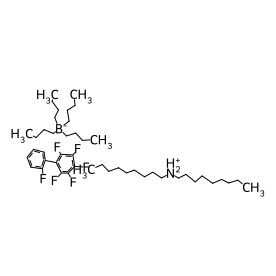 CCCCCCCCC[NH2+]CCCCCCCCC.CCCC[B-](CCCC)(CCCC)CCCC.Fc1ccccc1-c1c(F)c(F)c(F)c(F)c1F